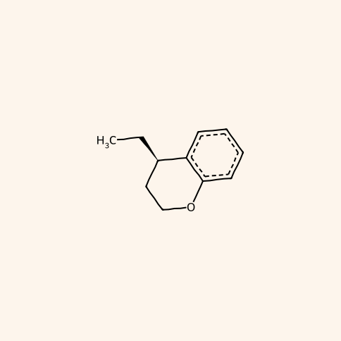 CC[C@@H]1CCOc2ccccc21